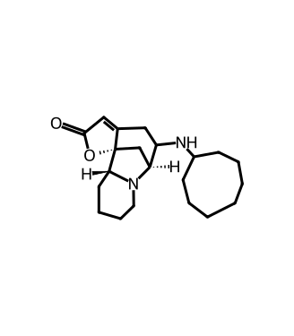 O=C1C=C2CC(NC3CCCCCCC3)[C@@H]3C[C@@]2(O1)[C@H]1CCCCN31